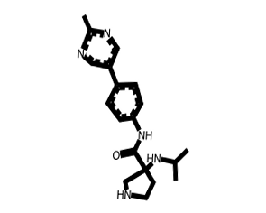 Cc1ncc(-c2ccc(NC(=O)C3(NC(C)C)CCNC3)cc2)cn1